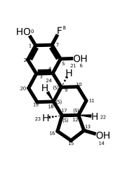 Oc1cc2c(c(O)c1F)[C@H]1CC[C@@H]3C(O)CC[C@H]3[C@@H]1CC2